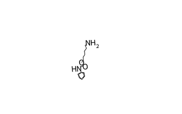 NCCCCCCOC(=O)Nc1ccccc1